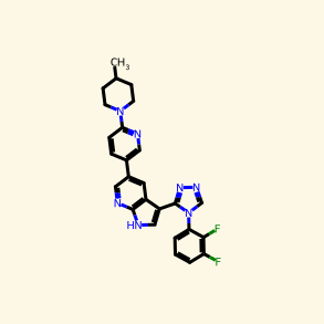 CC1CCN(c2ccc(-c3cnc4[nH]cc(-c5nncn5-c5cccc(F)c5F)c4c3)cn2)CC1